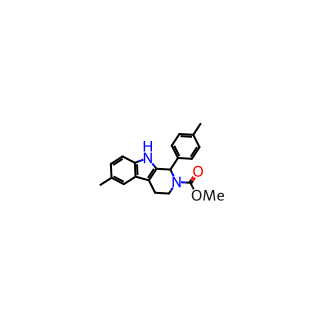 COC(=O)N1CCc2c([nH]c3ccc(C)cc23)C1c1ccc(C)cc1